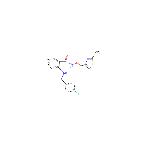 Cc1nc(CONC(=O)c2ccccc2NCc2ccc(F)cc2)cs1